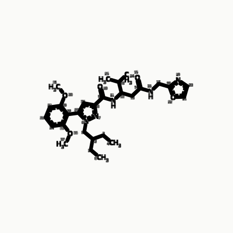 CCC(CC)Cn1nc(C(=O)NC(CC(=O)NCc2ncco2)C(C)C)cc1-c1c(OC)cccc1OC